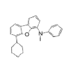 IN(c1ccccc1)c1cccc2c1oc1c(C3CCCCC3)cccc12